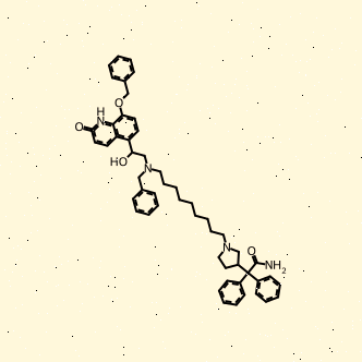 NC(=O)C(c1ccccc1)(c1ccccc1)C1CCN(CCCCCCCCCN(Cc2ccccc2)CC(O)c2ccc(OCc3ccccc3)c3[nH]c(=O)ccc23)C1